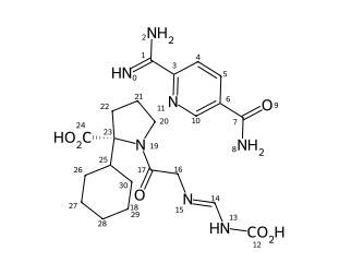 N=C(N)c1ccc(C(N)=O)cn1.O=C(O)NC=NCC(=O)N1CCC[C@]1(C(=O)O)C1CCCCC1